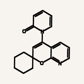 O=c1ccccn1C1=CC2(CCCCC2)Oc2ncccc21